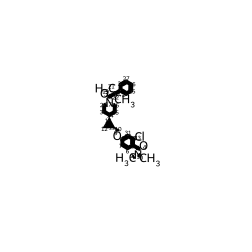 CN(C)C(=O)c1ccc(OC[C@H]2C[C@@H]2C2CCN(C(=O)C(C)(C)c3ccccc3)CC2)cc1Cl